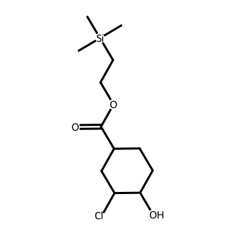 C[Si](C)(C)CCOC(=O)C1CCC(O)C(Cl)C1